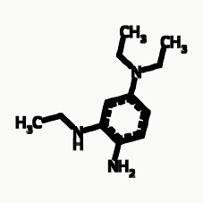 CCNc1cc(N(CC)CC)ccc1N